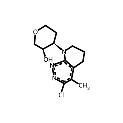 Cc1c(Cl)nnc2c1CCCN2[C@@H]1CCOC[C@@H]1O